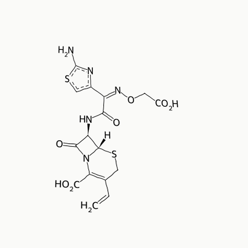 C=CC1=C(C(=O)O)N2C(=O)[C@@H](NC(=O)/C(=N\OCC(=O)O)c3csc(N)n3)[C@@H]2SC1